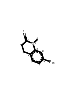 CN1C(=O)CCc2c[c]c(F)cc21